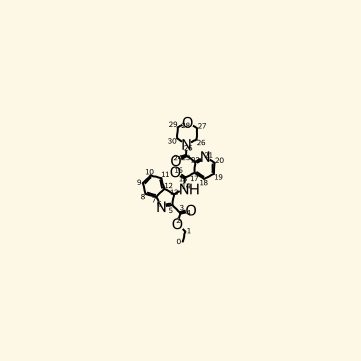 CCOC(=O)C1=Nc2ccccc2C1NC(=O)c1cccnc1C(=O)N1CCOCC1